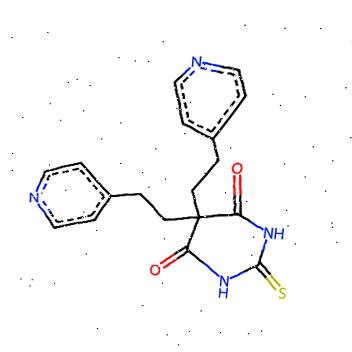 O=C1NC(=S)NC(=O)C1(CCc1ccncc1)CCc1ccncc1